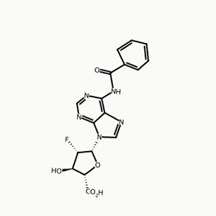 O=C(Nc1ncnc2c1ncn2[C@@H]1O[C@H](C(=O)O)[C@@H](O)[C@@H]1F)c1ccccc1